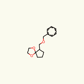 c1ccc(COCC2CCCC23OCCO3)cc1